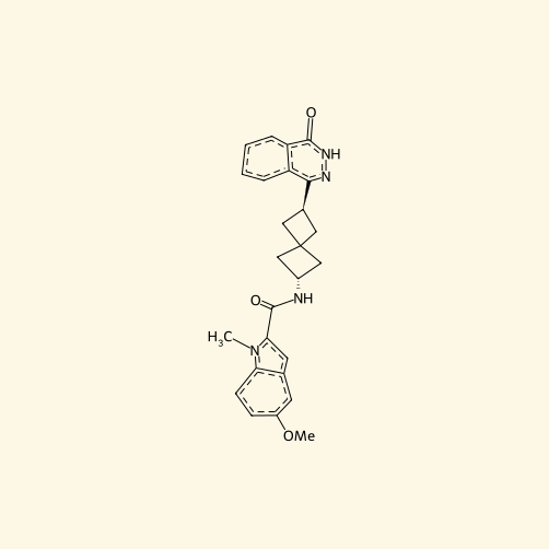 COc1ccc2c(c1)cc(C(=O)N[C@H]1CC3(C1)C[C@H](c1n[nH]c(=O)c4ccccc41)C3)n2C